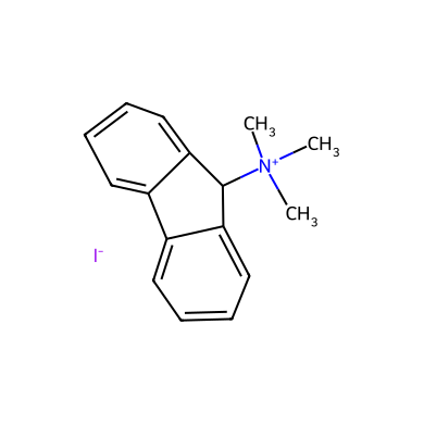 C[N+](C)(C)C1c2ccccc2-c2ccccc21.[I-]